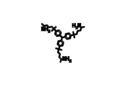 CC(N)CCCC(C)(C)c1ccc(C(c2ccc(C(C)(C)CCCC(C)N)cc2)c2ccc(C(C)(C)CCCC(C)N)cc2)cc1